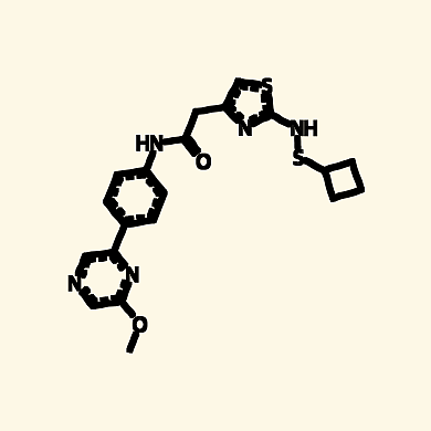 COc1cncc(-c2ccc(NC(=O)Cc3csc(NSC4CCC4)n3)cc2)n1